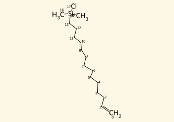 C=CCCCCCCCCCCCC[Si](C)(C)Cl